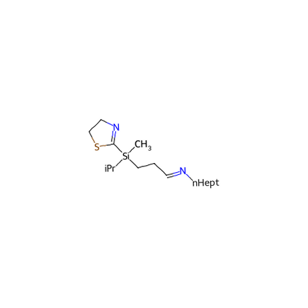 CCCCCCCN=CCC[Si](C)(C1=NCCS1)C(C)C